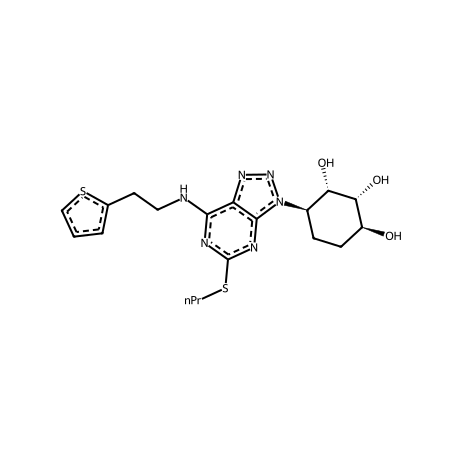 CCCSc1nc(NCCc2cccs2)c2nnn([C@@H]3CC[C@H](O)[C@@H](O)[C@H]3O)c2n1